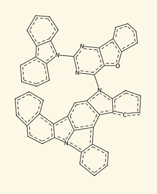 c1ccc2c(c1)ccc1c2c2cc3c(c4ccccc4n3-c3nc(-n4c5ccccc5c5ccccc54)nc4c3oc3ccccc34)c3c4ccccc4n1c23